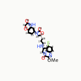 COc1nc2ccc(F)c3c2n(c1=O)C[C@@H]3NCCC[C@@H]1CN(c2ccc3c(c2)NC(=O)CO3)C(=O)O1